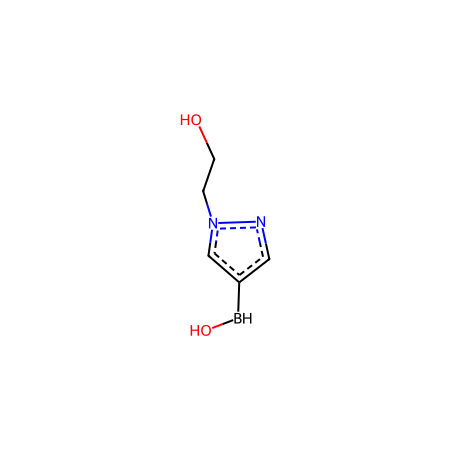 OBc1cnn(CCO)c1